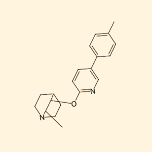 Cc1ccc(-c2ccc(OC3C4CCN(CC4)C3C)nc2)cc1